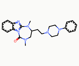 CN1CC(CCN2CCN(c3ccccc3)CC2)N(C)c2nc3ccccc3n2C1=O